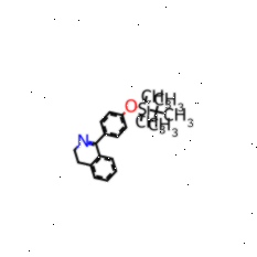 CC(C)(C)[Si](C)(C)Oc1ccc(C2=NCCc3ccccc32)cc1